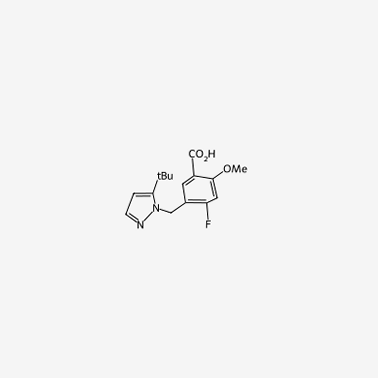 COc1cc(F)c(Cn2nccc2C(C)(C)C)cc1C(=O)O